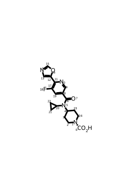 O=C(O)N1CCC(N(C(=O)c2cnc(-c3cnco3)c(F)c2)C2CC2)CC1